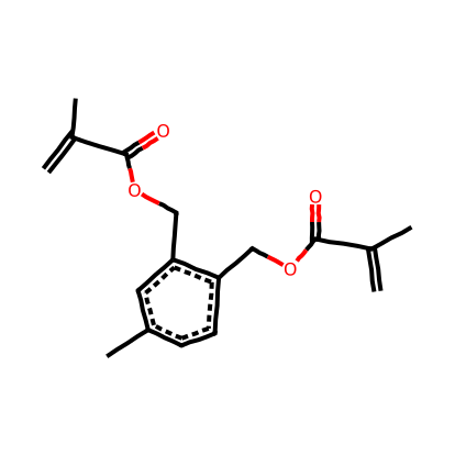 C=C(C)C(=O)OCc1ccc(C)cc1COC(=O)C(=C)C